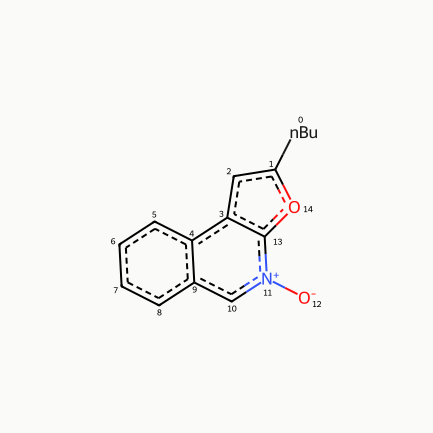 CCCCc1cc2c3ccccc3c[n+]([O-])c2o1